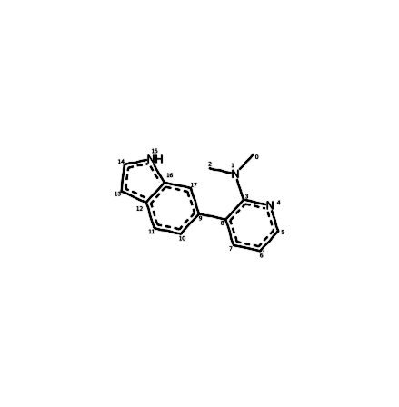 CN(C)c1nc[c]cc1-c1ccc2cc[nH]c2c1